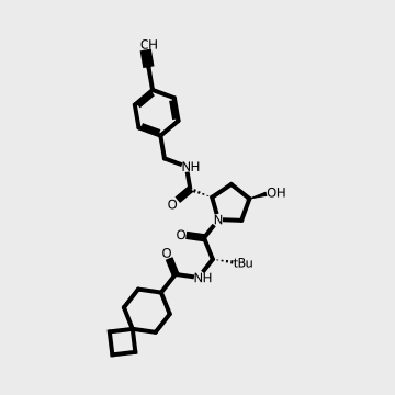 C#Cc1ccc(CNC(=O)[C@@H]2C[C@@H](O)CN2C(=O)[C@@H](NC(=O)C2CCC3(CCC3)CC2)C(C)(C)C)cc1